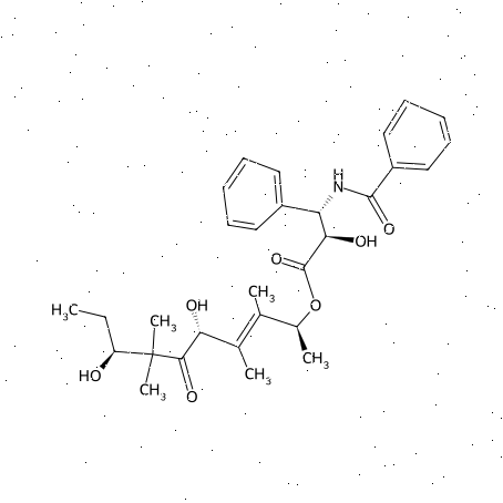 CC[C@H](O)C(C)(C)C(=O)[C@H](O)/C(C)=C(\C)[C@H](C)OC(=O)[C@H](O)[C@@H](NC(=O)c1ccccc1)c1ccccc1